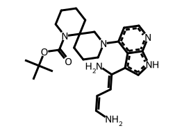 CC(C)(C)OC(=O)N1CCCCC12CCCN(c1ccnc3[nH]cc(/C(N)=C/C=C\N)c13)C2